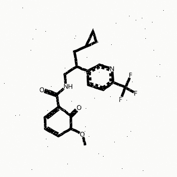 COC1C=CC=C(C(=O)NCC(CC2CC2)c2ccc(C(F)(F)F)nc2)C1=O